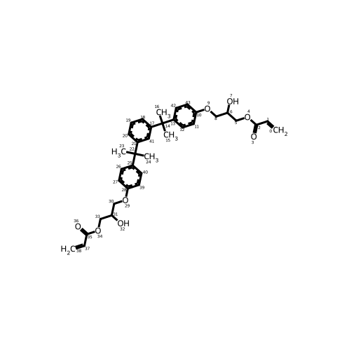 C=CC(=O)OCC(O)COc1ccc(C(C)(C)c2cccc(C(C)(C)c3ccc(OCC(O)COC(=O)C=C)cc3)c2)cc1